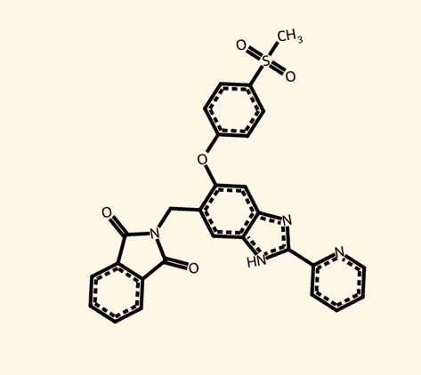 CS(=O)(=O)c1ccc(Oc2cc3nc(-c4ccccn4)[nH]c3cc2CN2C(=O)c3ccccc3C2=O)cc1